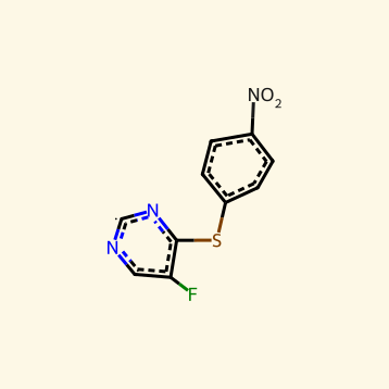 O=[N+]([O-])c1ccc(Sc2n[c]ncc2F)cc1